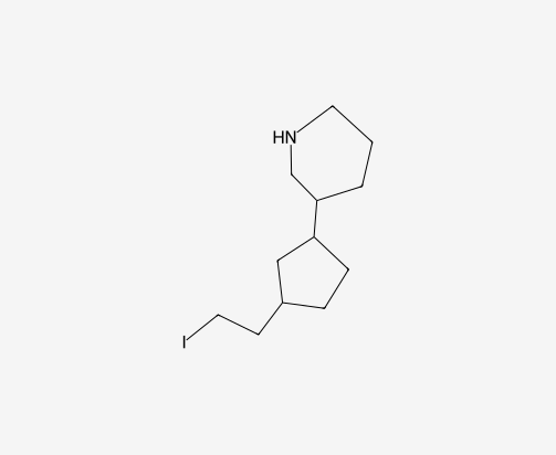 ICCC1CCC(C2CCCNC2)C1